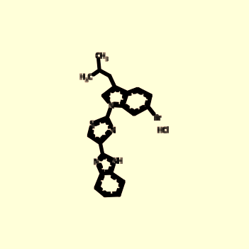 CC(C)Cc1cn(-c2nc(-c3nc4ccccc4[nH]3)cs2)c2cc(Br)ccc12.Cl